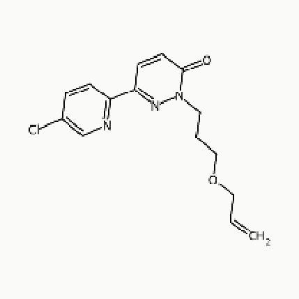 C=CCOCCCn1nc(-c2ccc(Cl)cn2)ccc1=O